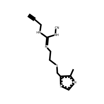 C#CCN/C(=N/CCSCc1scnc1C)NC#N